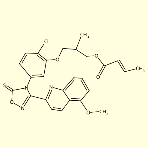 CC=CC(=O)OCC(C)COc1cc(-n2c(-c3ccc4c(OC)cccc4n3)noc2=S)ccc1Cl